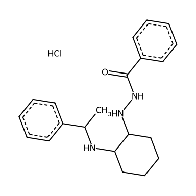 CC(NC1CCCCC1NNC(=O)c1ccccc1)c1ccccc1.Cl